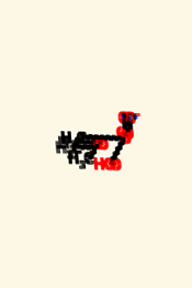 CCCCCCC(CCCC)COC(=O)C(CCCCCCCC(CCCCCCCCC(=O)O)OC(=O)Oc1ccc([N+](=O)[O-])cc1)CC(CCCC)CCCCCC